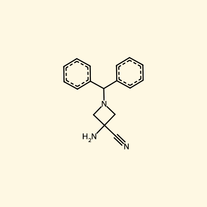 N#CC1(N)CN(C(c2ccccc2)c2ccccc2)C1